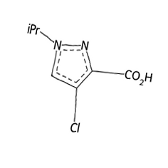 CC(C)n1cc(Cl)c(C(=O)O)n1